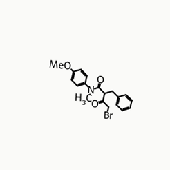 COc1ccc(N(C)C(=O)C(Cc2ccccc2)C(=O)CBr)cc1